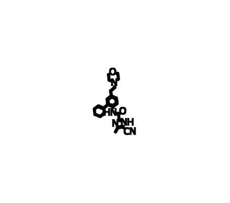 Cc1nc(C(=O)Nc2ccc(CCN3CCOCC3)cc2C2=CCCCC2)[nH]c1C#N